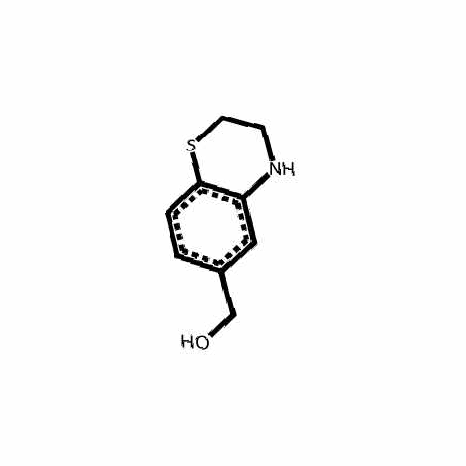 OCc1ccc2c(c1)NCCS2